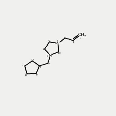 C=CCN1CCN(CC2CCCC2)C1